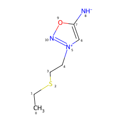 CCSCC[n+]1cc([NH-])on1